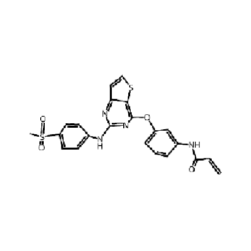 C=CC(=O)Nc1cccc(Oc2nc(Nc3ccc(S(C)(=O)=O)cc3)nc3ccsc23)c1